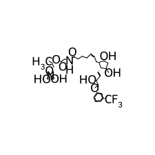 CC(CON(O)O)OC(=O)CNC(=O)CCC/C=C\C[C@@H]1[C@@H](/C=C/[C@@H](O)COc2cccc(C(F)(F)F)c2)[C@H](O)C[C@@H]1O